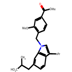 CCCc1cn(Cc2ccc(C(=O)OC)cc2OC)c2cc(CC(C)C(=O)O)ccc12